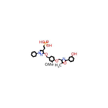 COc1cc(COc2nn(-c3ccccc3)cc2/C=C/P(=O)(O)O)ccc1OCc1nc(-c2cccc(O)c2)oc1C